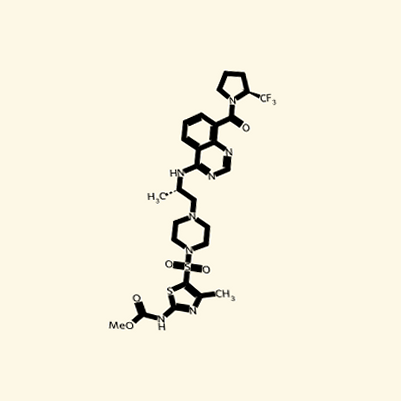 COC(=O)Nc1nc(C)c(S(=O)(=O)N2CCN(C[C@H](C)Nc3ncnc4c(C(=O)N5CCC[C@H]5C(F)(F)F)cccc34)CC2)s1